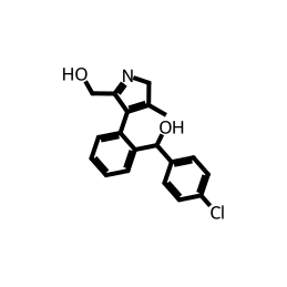 CC1=C(c2ccccc2C(O)c2ccc(Cl)cc2)C(CO)=NC1